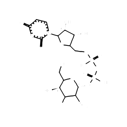 NC1C(O)[C@@H](O)C(CO)O[C@@H]1OP(=O)(O)OP(=O)(O)OCC1OC(n2ccc(=O)[nH]c2=O)[C@H](O)[C@@H]1O